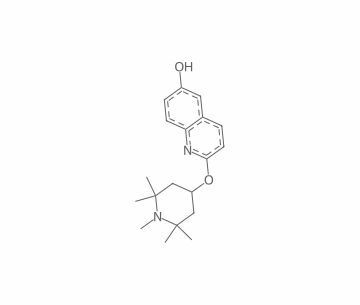 CN1C(C)(C)CC(Oc2ccc3cc(O)ccc3n2)CC1(C)C